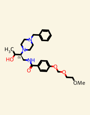 COCCOCOc1ccc(C(=O)NC[C@@H](C(C)O)N2CCN(Cc3ccccc3)CC2)cc1